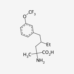 CCC(Cc1cccc(OC(F)(F)F)c1)CC(C)(N)C(=O)O